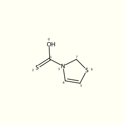 OC(=S)N1C=CSC1